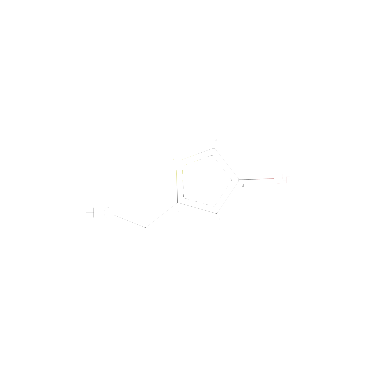 CCc1cc(Br)cs1